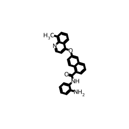 Cc1cccc2c(Oc3ccc4c(C(=O)Nc5ccccc5N)cccc4c3)ccnc12